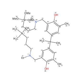 CCN(CCC[Si](C)(C)C)Cc1cc(C(C)(C)c2cc(C)c(O)c(CN(CC)CCC[Si](OC)(OC)OC)c2)cc(C)c1O